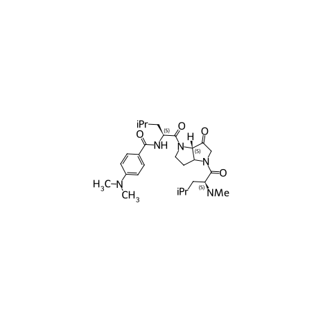 CN[C@@H](CC(C)C)C(=O)N1CC(=O)[C@@H]2C1CCN2C(=O)[C@H](CC(C)C)NC(=O)c1ccc(N(C)C)cc1